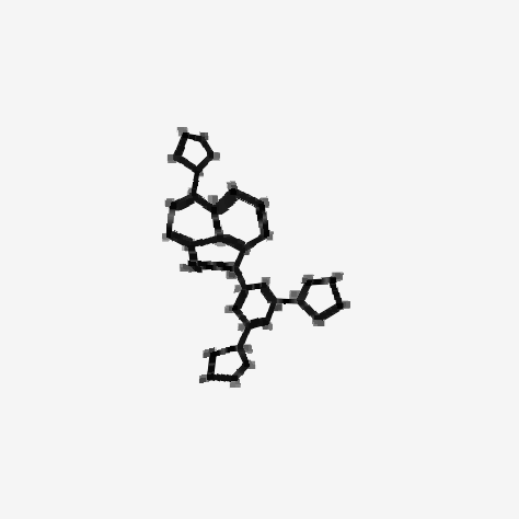 c1cc2c3c(ccc(C4CCCC4)c3c1)N=C2c1cc(C2CCCC2)cc(C2CCCC2)c1